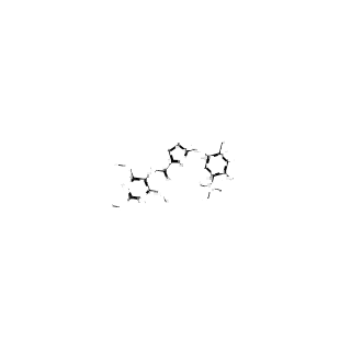 COc1nc(OC)c(NC(=O)c2ccc(Oc3cc([Si](C)(C)C)c(Cl)cc3C)o2)c(OC)n1